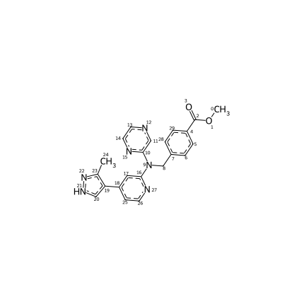 COC(=O)c1ccc(CN(c2cnccn2)c2cc(-c3c[nH]nc3C)ccn2)cc1